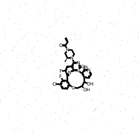 C=CC(=O)N1CCN(c2nc(=O)n3c4nc(c(F)cc24)-c2c(ccc(Cl)c2F)OCC(O)C(O)c2ccnc(C(C)C)c2-3)[C@@H](C)C1